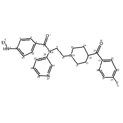 CCNc1ccc(C(=O)N(CCN2CCC(C(=O)c3ccc(F)cc3)CC2)c2cccnc2)cc1